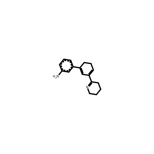 Nc1cccc(C2=CC(C3=NCCCC3)=CCC2)c1